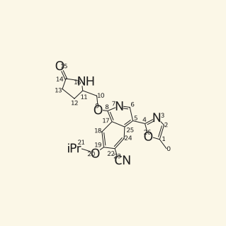 Cc1cnc(-c2cnc(OCC3CCC(=O)N3)c3cc(OC(C)C)c(C#N)cc23)o1